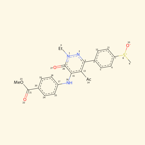 CCn1nc(-c2ccc([S+](C)[O-])cc2)c(C(C)=O)c(Nc2ccc(C(=O)OC)cc2)c1=O